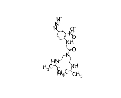 CC(C)NCCN(CCNC(C)C)C(=O)CNc1ccc(N=[N+]=[N-])cc1[N+](=O)[O-]